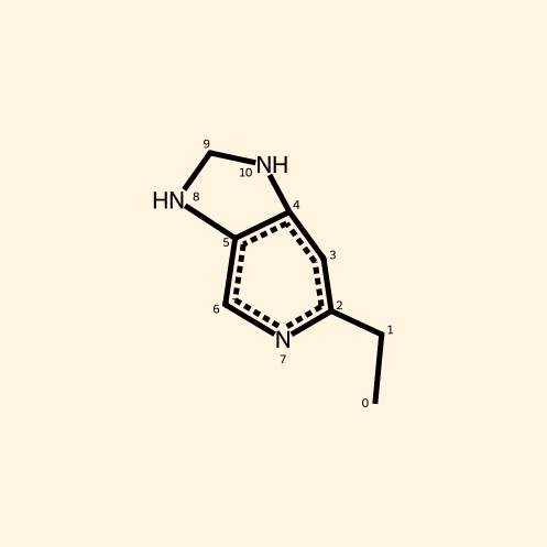 CCc1cc2c(cn1)NCN2